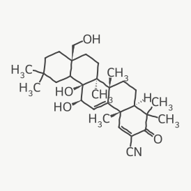 CC1(C)CC[C@]2(CO)CC[C@]3(C)[C@@](O)(C2C1)[C@H](O)C=C1[C@@]2(C)C=C(C#N)C(=O)C(C)(C)[C@@H]2CC[C@]13C